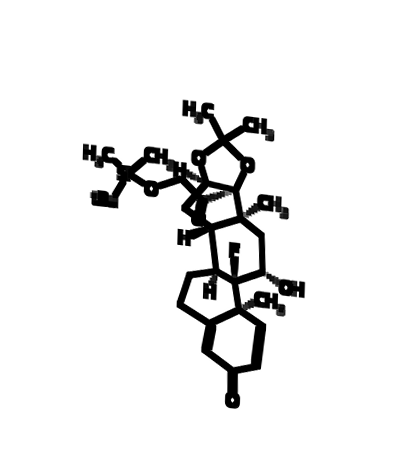 CC1(C)O[C@@H]2C[C@H]3[C@@H]4CCC5=CC(=O)C=C[C@]5(C)[C@@]4(F)[C@@H](O)C[C@]3(C)[C@]2(C(=O)CO[Si](C)(C)C(C)(C)C)O1